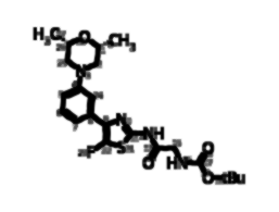 C[C@@H]1CN(c2cccc(-c3nc(NC(=O)CNC(=O)OC(C)(C)C)sc3F)c2)C[C@H](C)O1